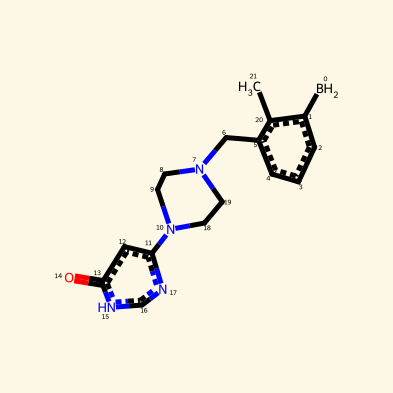 Bc1cccc(CN2CCN(c3cc(=O)[nH]cn3)CC2)c1C